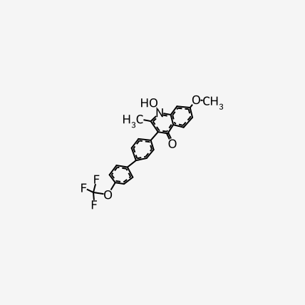 COc1ccc2c(=O)c(-c3ccc(-c4ccc(OC(F)(F)F)cc4)cc3)c(C)n(O)c2c1